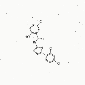 O=C(Nc1nc(-c2ccc(Cl)cc2Cl)cs1)c1cc(Cl)ccc1O